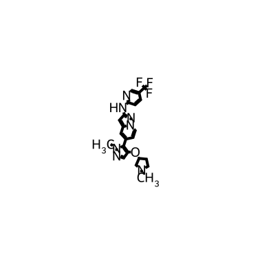 CN1CC[C@H](Oc2cnn(C)c2-c2ccn3nc(Nc4ccc(C(F)(F)F)cn4)cc3c2)C1